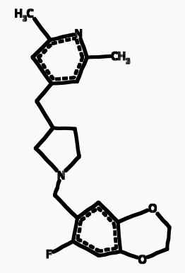 Cc1cc(CC2CCN(Cc3cc4c(cc3F)OCCO4)C2)cc(C)n1